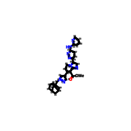 COC(=O)c1c(-c2cnn(CC34CC5CC(CC(C5)C3)C4)c2)ccn2c(-c3ccc(Nc4ccccn4)nn3)cnc12